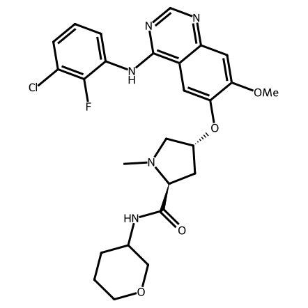 COc1cc2ncnc(Nc3cccc(Cl)c3F)c2cc1O[C@@H]1C[C@@H](C(=O)NC2CCCOC2)N(C)C1